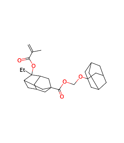 C=C(C)C(=O)OC1(CC)C2CC3CC1CC(C(=O)OCOC14CC5CC(CC(C5)C1)C4)(C3)C2